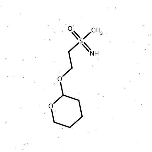 CS(=N)(=O)CCOC1CCCCO1